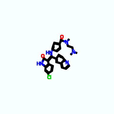 CN(C)CCN(C)C(=O)c1ccc(N/C(=C2\C(=O)Nc3cc(Cl)ccc32)c2ccc3ncccc3c2)cc1